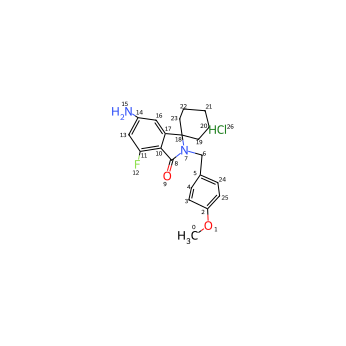 COc1ccc(CN2C(=O)c3c(F)cc(N)cc3C23CCCCC3)cc1.Cl